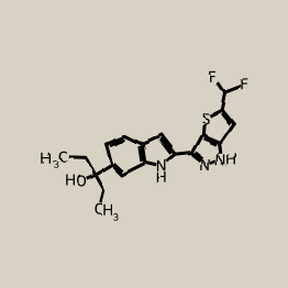 CCC(O)(CC)c1ccc2cc(-c3n[nH]c4cc(C(F)F)sc34)[nH]c2c1